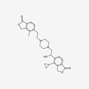 Cc1c(CCN2CCN(CC(O)c3ccc4c(c3C3CC3)COC4=O)CC2)ccc2c1COC2=O